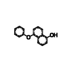 Oc1cccc2c(Oc3ccccc3)cccc12